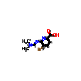 CN(C)/C=N/c1nc(C(=O)O)ccc1Br